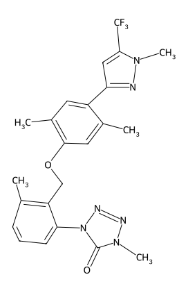 Cc1cc(-c2cc(C(F)(F)F)n(C)n2)c(C)cc1OCc1c(C)cccc1-n1nnn(C)c1=O